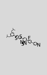 CC(C)Cc1cc(CC(C)C)cc(-c2cc3sc(-c4ccc(-c5ccc(-c6ccc(N(C)C)cc6)cc5F)c5nsnc45)cc3s2)c1